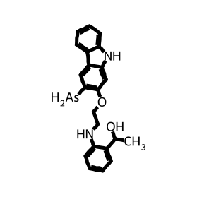 CC(O)c1ccccc1NCCOc1cc2[nH]c3ccccc3c2cc1[AsH2]